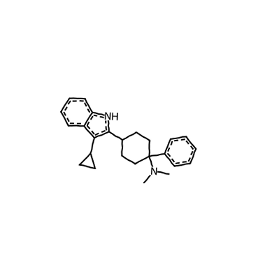 CN(C)C1(c2ccccc2)CCC(c2[nH]c3ccccc3c2C2CC2)CC1